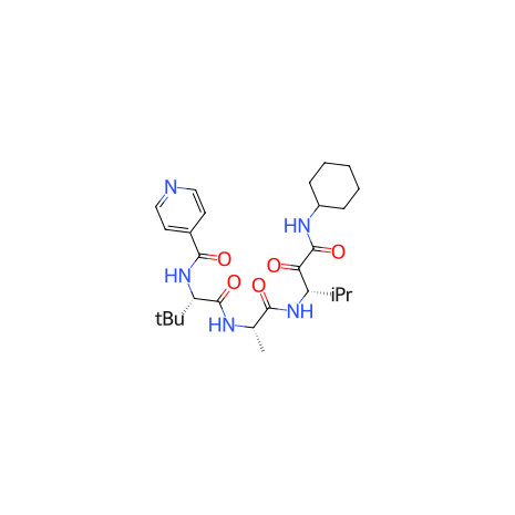 CC(C)[C@H](NC(=O)[C@H](C)NC(=O)[C@@H](NC(=O)c1ccncc1)C(C)(C)C)C(=O)C(=O)NC1CCCCC1